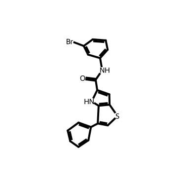 O=C(Nc1cccc(Br)c1)c1cc2scc(-c3ccccc3)c2[nH]1